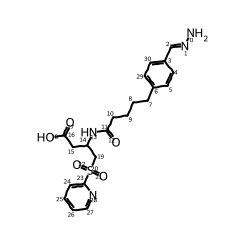 NN=Cc1ccc(CCCCC(=O)NC(CC(=O)O)CS(=O)(=O)c2ccccn2)cc1